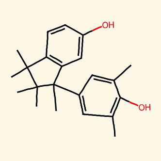 Cc1cc(C2(C)c3cc(O)ccc3C(C)(C)C2(C)C)cc(C)c1O